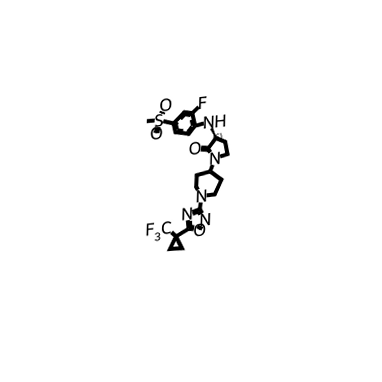 CS(=O)(=O)c1ccc(N[C@H]2CCN(C3CCN(c4noc(C5(C(F)(F)F)CC5)n4)CC3)C2=O)c(F)c1